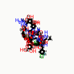 CN[C@H](CC(C)C)C(=O)N[C@H]1C(=O)N[C@@H](CC(N)=O)C(=O)N[C@H]2C(=O)N[C@H]3C(=O)N[C@H](C(=O)N[C@@H](C(=O)NN)c4cc(O)cc(O)c4-c4cc3ccc4O)[C@H](O)c3ccc(c(Cl)c3)Oc3cc2cc(c3O[C@@H]2O[C@H](CO)[C@@H](O)[C@H](O)[C@H]2O[C@H]2C[C@](C)(NCCn3ccc(NC(=O)Cc4ccc(Cl)c(F)c4)nc3=O)[C@H](O)[C@H](C)O2)Oc2ccc(cc2Cl)[C@H]1O